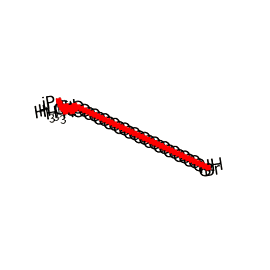 CC(C)CCC[C@@H](C)[C@H]1CC[C@H]2[C@@H]3CC=C4CC(OC(=O)CCOCCOCCOCCOCCOCCOCCOCCOCCOCCOCCOCCOCCOCCOCCOCCOCCOCCOCCOCCOCCOCCOCCOCCOCCNC(=O)CBr)CC[C@]4(C)[C@H]3CC[C@]12C